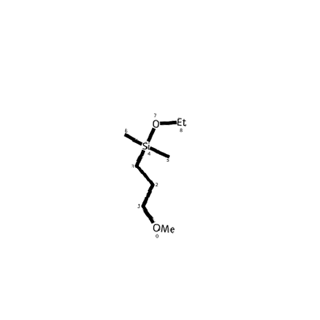 [CH2]OCCC[Si](C)(C)OCC